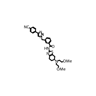 COCCN(CCOC)[C@H]1CCc2nc(NC(=O)c3cccc(Cn4cc(-c5ccc(C#N)cc5)nn4)c3)sc2C1